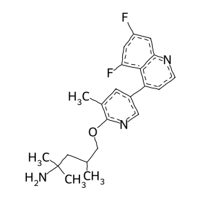 Cc1cc(-c2ccnc3cc(F)cc(F)c23)cnc1OCC(C)CC(C)(C)N